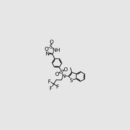 Cc1c(N(CCC(F)(F)F)S(=O)(=O)c2ccc(C3=NOS(=O)N3)cc2)sc2ccccc12